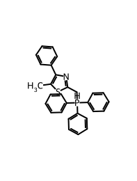 Cc1sc(C[PH](c2ccccc2)(c2ccccc2)c2ccccc2)nc1-c1ccccc1